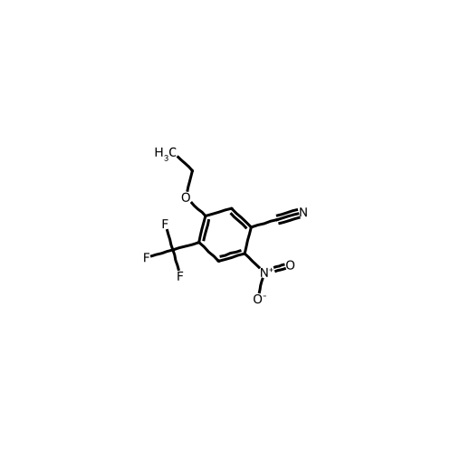 CCOc1cc(C#N)c([N+](=O)[O-])cc1C(F)(F)F